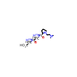 CN(C)CCN1CCCC1[13C](=O)[15NH][13CH2][13CH2][13C](=O)[15NH][13CH2][13CH2][13C](=O)O